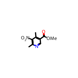 COC(=O)c1cnc(C)c([N+](=O)[O-])c1C